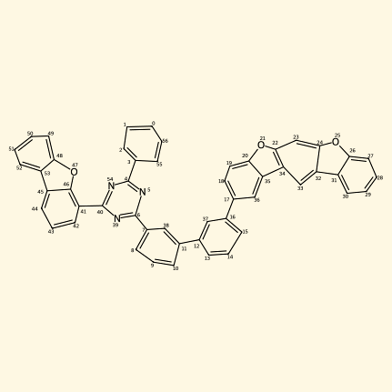 c1ccc(-c2nc(-c3cccc(-c4cccc(-c5ccc6oc7cc8oc9ccccc9c8cc7c6c5)c4)c3)nc(-c3cccc4c3oc3ccccc34)n2)cc1